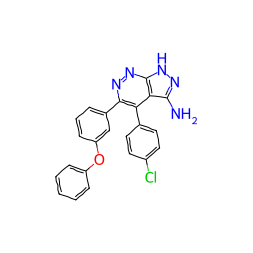 Nc1n[nH]c2nnc(-c3cccc(Oc4ccccc4)c3)c(-c3ccc(Cl)cc3)c12